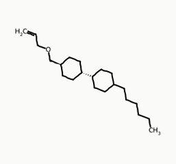 C=CCOC[C@H]1CC[C@H](C2CCC(CCCCCC)CC2)CC1